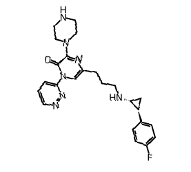 O=c1c(N2CCNCC2)nc(CCCN[C@@H]2C[C@H]2c2ccc(F)cc2)cn1-c1cccnn1